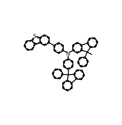 CC1(c2ccccc2)c2ccccc2-c2ccc(N(c3ccc(-c4ccc5sc6ccccc6c5c4)cc3)c3ccc(C4(c5ccccc5)c5ccccc5-c5ccccc54)cc3)cc21